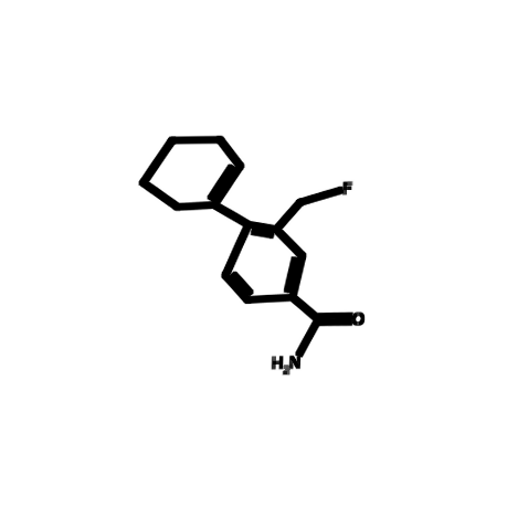 NC(=O)c1ccc(C2=CCCCC2)c(CF)c1